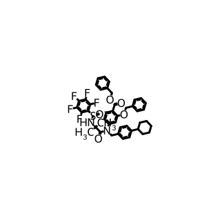 CC(C)(N[S+]([O-])c1c(F)c(F)c(F)c(F)c1F)C(=O)N(Cc1ccc(C2CCCCC2)cc1)c1ccc(C(=O)OCc2ccccc2)c(OCc2ccccc2)c1